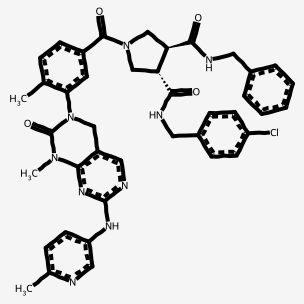 Cc1ccc(Nc2ncc3c(n2)N(C)C(=O)N(c2cc(C(=O)N4C[C@@H](C(=O)NCc5ccccc5)[C@H](C(=O)NCc5ccc(Cl)cc5)C4)ccc2C)C3)cn1